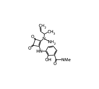 C=CC(C)N(N)c1c(Nc2cccc(C(=O)NC)c2O)c(=O)c1=O